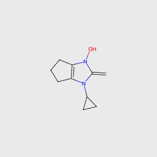 C=C1N(O)C2=C(CCC2)N1C1CC1